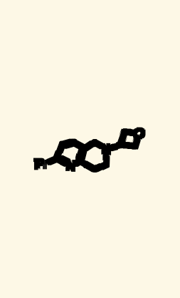 CC(C)c1ccc2c(n1)CCN(C1COC1)C2